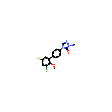 COc1c(Cl)cc(F)cc1-c1ccc(-n2cnn(C)c2=O)cc1